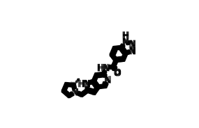 C[C@H]1CCCN1Cc1cc2cnc(NC(=O)c3ccc4[nH]nnc4c3)cc2[nH]1